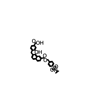 O=C(O)c1ccc(Cc2ccc3ccc(C(=O)OCc4ccc(S(=O)(=O)N5CC5)cc4)cc3c2O)cc1